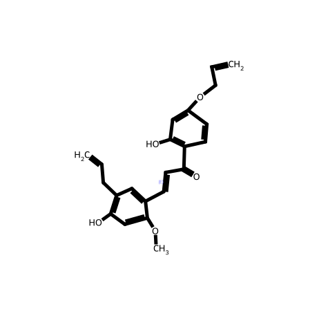 C=CCOc1ccc(C(=O)/C=C/c2cc(CC=C)c(O)cc2OC)c(O)c1